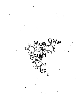 COc1cccc(-c2noc(-c3ccccc3S(=O)(=O)c3ccc(C(F)(F)F)cc3)n2)c1OC